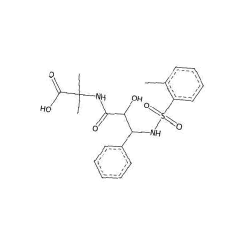 Cc1ccccc1S(=O)(=O)NC(c1ccccc1)C(O)C(=O)NC(C)(C)C(=O)O